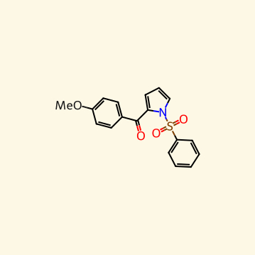 COc1ccc(C(=O)c2cccn2S(=O)(=O)c2ccccc2)cc1